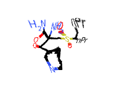 CCCC(CCC)S(=O)(=O)CC(N)(C(N)=O)C(=O)c1cccnc1